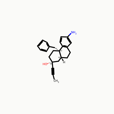 CC#C[C@@]1(O)CC[C@@]2(Cc3ccccc3)c3ccc(N)cc3CC[C@@H]2C1